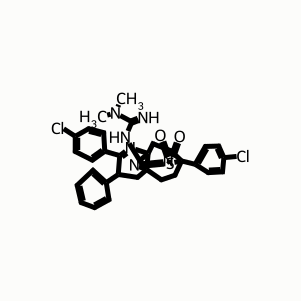 CN(C)C(=N)N/C1=N\S(=O)(=O)C2(c3ccc(Cl)cc3)CCC34CC(c5ccccc5)C(c5ccc(Cl)cc5)=NC3(CC2)N14